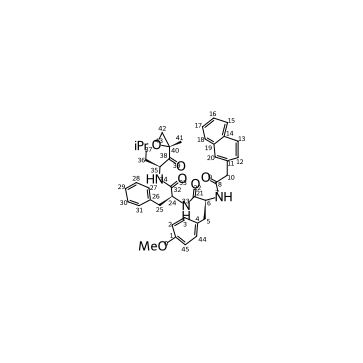 COc1ccc(C[C@H](NC(=O)Cc2ccc3ccccc3c2)C(=O)N[C@@H](Cc2ccccc2)C(=O)N[C@@H](CC(C)C)C(=O)[C@@]2(C)CO2)cc1